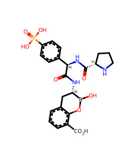 O=C(O)c1cccc2c1OB(O)[C@@H](NC(=O)[C@H](NC(=O)[C@@H]1CCCN1)c1ccc(P(=O)(O)O)cc1)C2